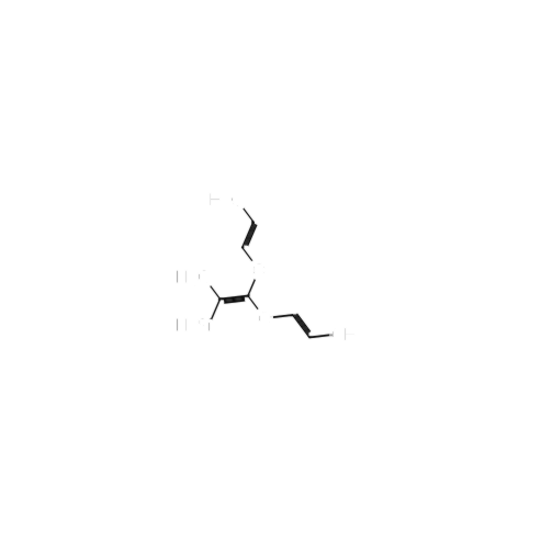 CC=COC(OC=CC)=C(C)[SiH3]